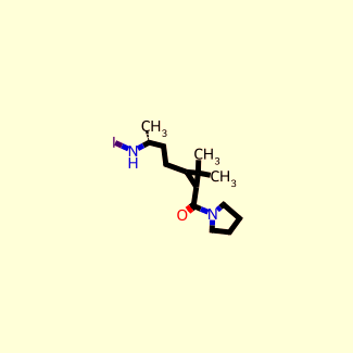 C[C@H](CCC1C(C(=O)N2CCCC2)C1(C)C)NI